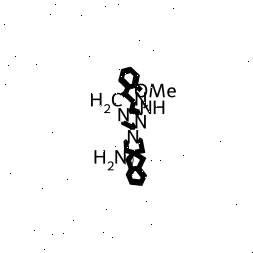 C=C(c1ccccc1OC)c1n[nH]c2nc(N3CCC4(CC3)Cc3ccccc3[C@H]4N)cnc12